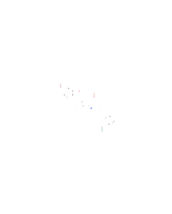 Cc1ccc(Cl)c(CC(F)C(=O)Nc2scc(-c3ccc(Br)cc3)c2C(=O)O)c1